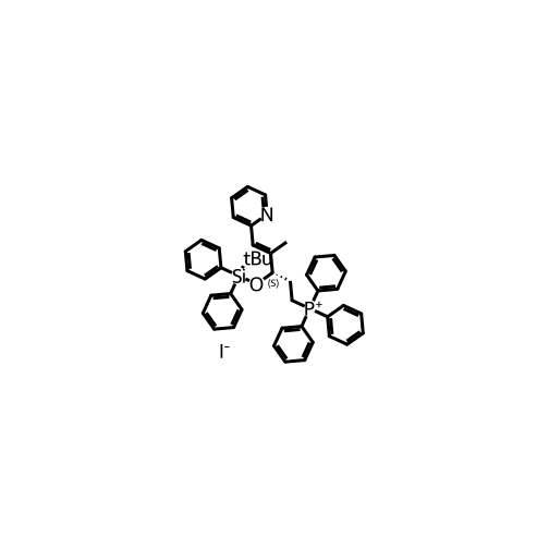 CC(=Cc1ccccn1)[C@H](CC[P+](c1ccccc1)(c1ccccc1)c1ccccc1)O[Si](c1ccccc1)(c1ccccc1)C(C)(C)C.[I-]